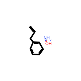 C=CCc1ccccc1.NO